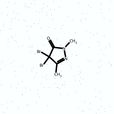 CC1=NN(C)C(=O)C1(Br)Br